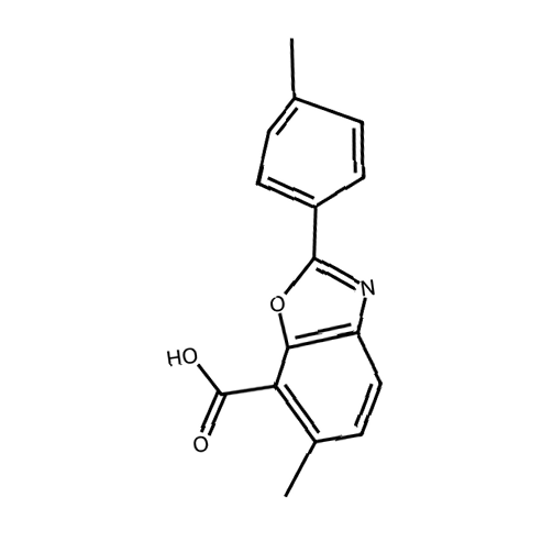 Cc1ccc(-c2nc3ccc(C)c(C(=O)O)c3o2)cc1